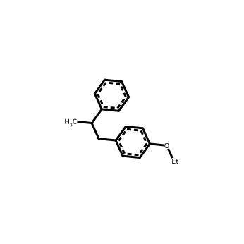 [CH2]COc1ccc(CC(C)c2ccccc2)cc1